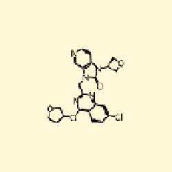 O=c1n(Cc2nc(OC3CCOC3)c3ccc(Cl)cc3n2)c2cnccc2n1C1COC1